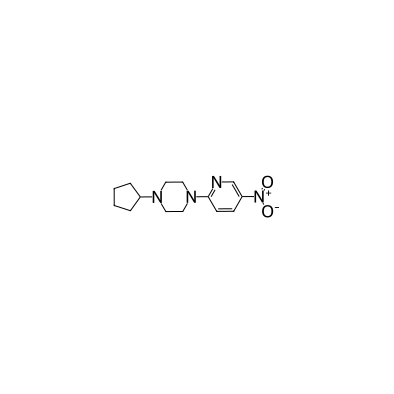 O=[N+]([O-])c1ccc(N2CCN(C3CCCC3)CC2)nc1